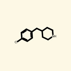 Clc1ccc(C[C]2CCNCC2)cc1